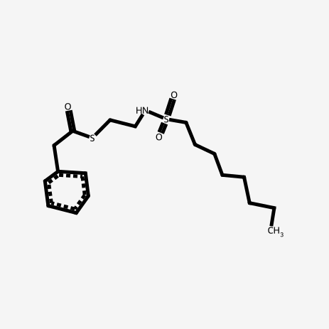 CCCCCCCCS(=O)(=O)NCCSC(=O)Cc1ccccc1